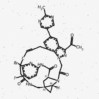 CC(=O)c1nn2c3c(cc(-c4cnc(C)nc4)cc13)CC=CCCCC(=O)NC[C@@]13C[C@@H](C(=O)Nc4ccc(F)c(Br)n4)N(C(=O)C2)[C@@H]1C3